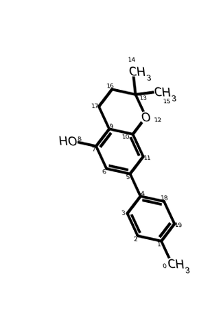 Cc1ccc(-c2cc(O)c3c(c2)OC(C)(C)CC3)cc1